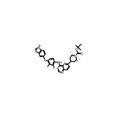 Cc1c(Oc2ccc3c(c2)ncn3C)ccc(Nc2ncnc3ccc(C4C[C@@H](C)N(C(=O)OC(C)(C)C)[C@@H](C)C4)nc23)c1F